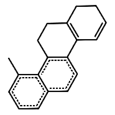 Cc1cccc2ccc3c(c12)CCC1=C3C=CCC1